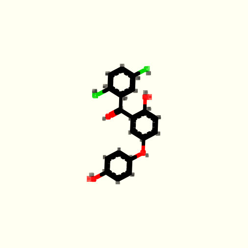 O=C(c1cc(Oc2ccc(O)cc2)ccc1O)c1cc(Cl)ccc1Cl